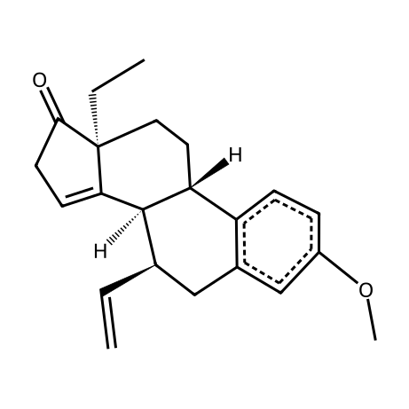 C=C[C@@H]1Cc2cc(OC)ccc2[C@H]2CC[C@]3(CC)C(=O)CC=C3[C@H]12